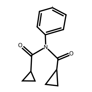 O=C(C1CC1)N(C(=O)C1CC1)c1cc[c]cc1